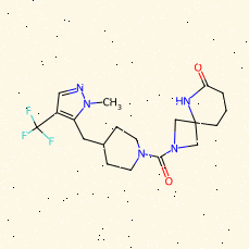 Cn1ncc(C(F)(F)F)c1CC1CCN(C(=O)N2CC3(CCCC(=O)N3)C2)CC1